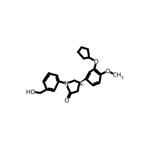 COc1ccc([C@H]2CC(=O)N(c3cccc(CO)c3)C2)cc1OC1CCCC1